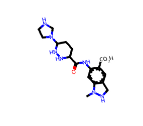 CN1NCc2cc(C(=O)O)c(NC(=O)C3CCC(N4CCNC4)NN3)cc21